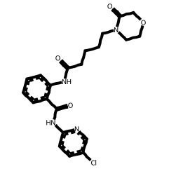 O=C(CCCCN1CCOCC1=O)Nc1ccccc1C(=O)Nc1ccc(Cl)cn1